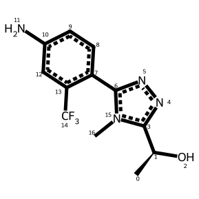 C[C@H](O)c1nnc(-c2ccc(N)cc2C(F)(F)F)n1C